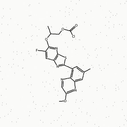 COc1cnc2c(-c3nc4cc(F)c(OC(C)COC(=O)Cl)nc4s3)cc(C)cc2n1